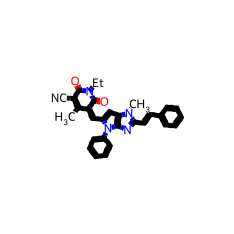 CCN1C(=O)C(C#N)=C(C)/C(=C/c2cc3c(nc(/C=C/c4ccccc4)n3C)n2-c2ccccc2)C1=O